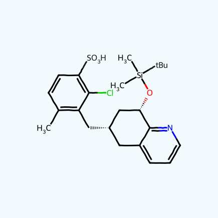 Cc1ccc(S(=O)(=O)O)c(Cl)c1C[C@H]1Cc2cccnc2[C@@H](O[Si](C)(C)C(C)(C)C)C1